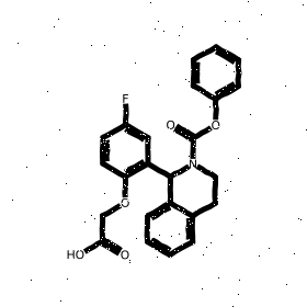 O=C(O)COc1ccc(F)cc1C1c2ccccc2CCN1C(=O)Oc1ccccc1